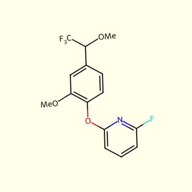 COc1cc(C(OC)C(F)(F)F)ccc1Oc1cccc(F)n1